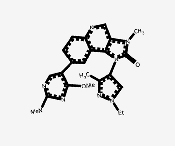 CCn1cc(-n2c(=O)n(C)c3cnc4ccc(-c5cnc(NC)nc5OC)cc4c32)c(C)n1